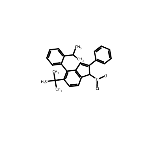 CC(C)c1ccccc1-c1c(C(C)(C)C)ccc2c1C=C(c1ccccc1)[CH]2[Zr]([Cl])[Cl]